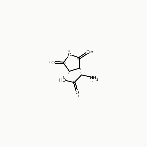 NCC(=O)O.O=C1CCC(=O)O1